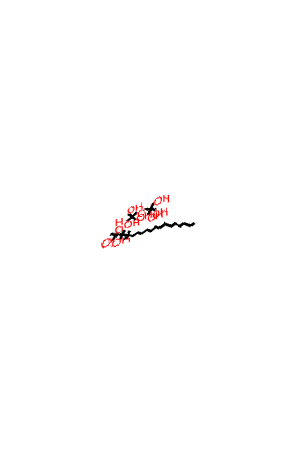 CCCCCCCCCCCCCCC(C)(C)C(C)(C)C(C)(O)C(=O)O.OCC(CO)(CO)COCC(CO)(CO)CO